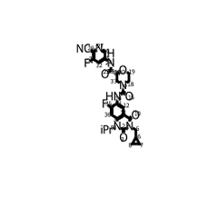 CC(C)n1c(=O)n(CC2CC2)c(=O)c2cc(NC(=O)N3CCO[C@@H](C(=O)Nc4cnc(C#N)c(F)c4)C3)c(F)cc21